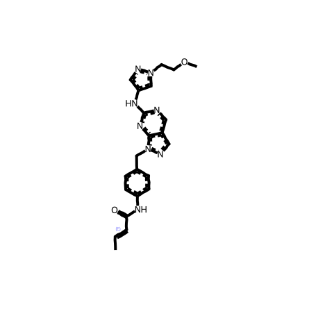 C/C=C/C(=O)Nc1ccc(Cn2ncc3cnc(Nc4cnn(CCOC)c4)nc32)cc1